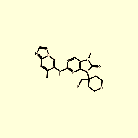 Cc1cc2ncnn2cc1Nc1ncc2c(n1)n(C1(CF)CCOCC1)c(=O)n2C